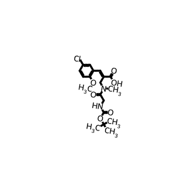 COc1ccc(Cl)cc1/C=C(\CN(C)C(=O)CNC(=O)OC(C)(C)C)C(=O)O